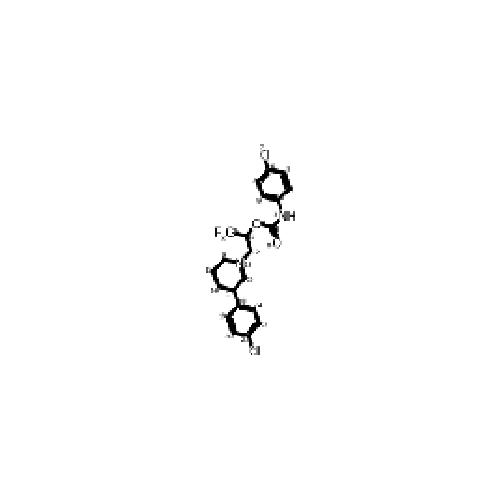 O=C(Nc1ccc(Cl)cc1)OC(CN1CCCC(c2ccc(Cl)cc2)C1)C(F)(F)F